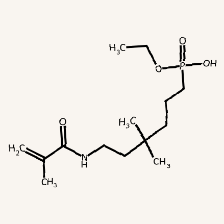 C=C(C)C(=O)NCCC(C)(C)CCCP(=O)(O)OCC